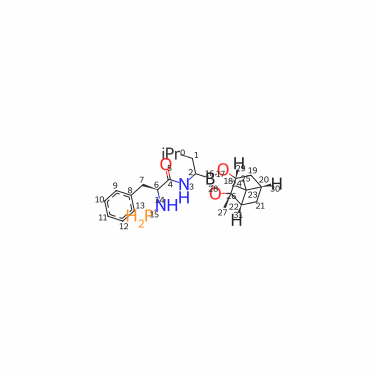 CC(C)CC(NC(=O)[C@H](Cc1ccccc1)NP)B1O[C@@H]2C[C@@H]3C[C@@H](C3(C)C)[C@]2(C)O1